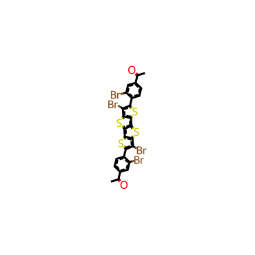 CC(=O)c1ccc(-c2sc3c(sc4c5sc(-c6ccc(C(C)=O)cc6Br)c(Br)c5sc34)c2Br)c(Br)c1